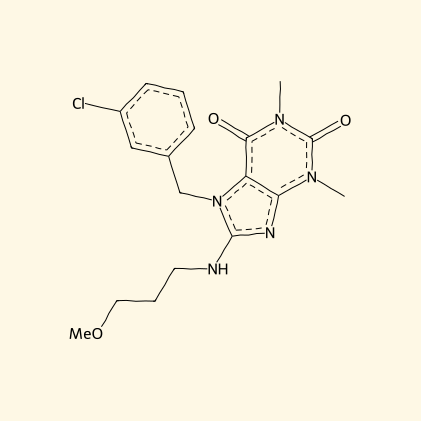 COCCCNc1nc2c(c(=O)n(C)c(=O)n2C)n1Cc1cccc(Cl)c1